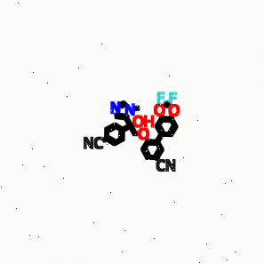 Cn1cncc1C(O)(COc1ccc(C#N)cc1-c1ccc2c(c1)OC(F)(F)O2)c1ccc(C#N)cc1